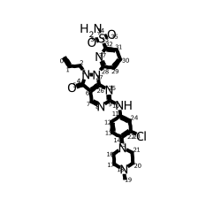 C=CCn1c(=O)c2cnc(Nc3ccc(N4CCN(C)CC4)c(Cl)c3)nc2n1-c1cccc(S(N)(=O)=O)n1